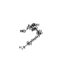 CC(C)(C)[C@H](c1nc(-c2cc(F)ccc2F)cn1Cc1ccccc1)N(CC[C@H](N)C(=O)NCCNC(=O)CN1C(=O)CC(SCCOCCOCCOCCOCCC(=O)NCCCCCN)C1=O)C(=O)CO.Cl.Cl